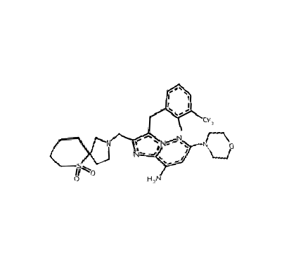 Cc1c(Cc2c(CN3CCC4(CCCCS4(=O)=O)C3)nc3c(N)cc(N4CCOCC4)nn23)cccc1C(F)(F)F